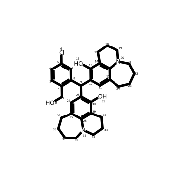 OCc1ccc(Cl)cc1C(c1cc2c3c(c1O)CCCN3CCCC2)c1cc2c3c(c1O)CCCN3CCCC2